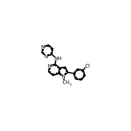 Cn1c(-c2cccc(Cl)c2)cc2c(Nc3ccncn3)nccc21